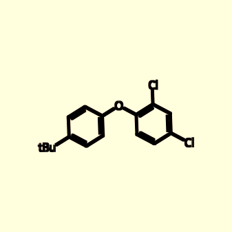 CC(C)(C)c1ccc(Oc2ccc(Cl)cc2Cl)cc1